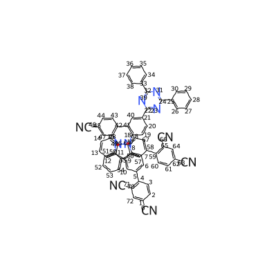 N#Cc1ccc(-c2ccc3c(c2)c2ccccc2n3-c2ccc(-c3nc(-c4ccccc4)nc(-c4ccccc4)n3)cc2-c2ccc(C#N)cc2-n2c3ccccc3c3cc(-c4ccc(C#N)cc4C#N)ccc32)c(C#N)c1